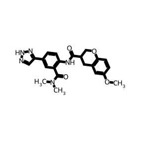 COc1ccc2c(c1)CC(C(=O)Nc1ccc(-c3cn[nH]n3)cc1C(=O)N(C)C)CO2